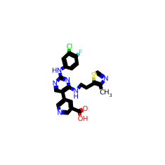 Cc1ncsc1CCNc1nc(Nc2ccc(F)c(Cl)c2)ncc1-c1cncc(C(=O)O)c1